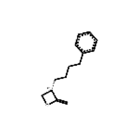 C=C1OC[C@@H]1CCCCc1ccccc1